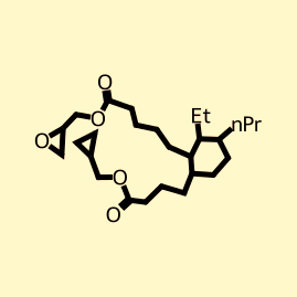 CCCC1CCC(CCCC(=O)OCC2CC2)C(CCCCC(=O)OCC2CO2)C1CC